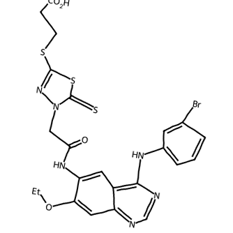 CCOc1cc2ncnc(Nc3cccc(Br)c3)c2cc1NC(=O)Cn1nc(SCCC(=O)O)sc1=S